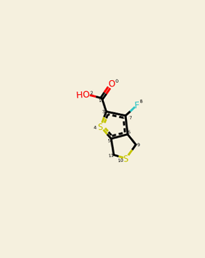 O=C(O)c1sc2c(c1F)CSC2